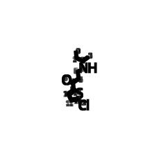 CCC(C)NCCC(=O)c1ccc(Cl)s1